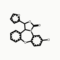 O=C1OC(c2ccco2)C2c3ccccc3Oc3ccc(Cl)cc3N12